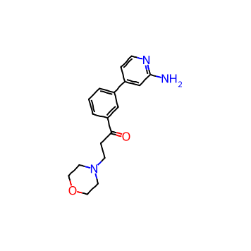 Nc1cc(-c2cccc(C(=O)CCN3CCOCC3)c2)ccn1